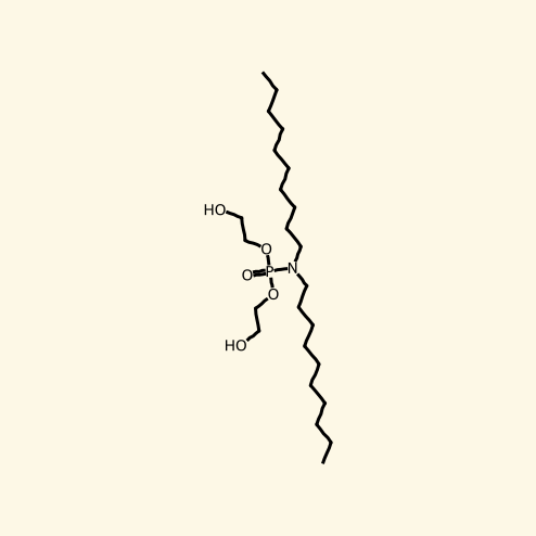 CCCCCCCCCCN(CCCCCCCCCC)P(=O)(OCCO)OCCO